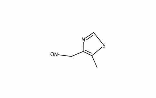 Cc1scnc1CN=O